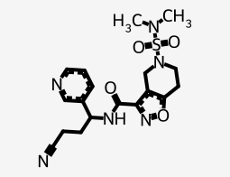 CN(C)S(=O)(=O)N1CCc2onc(C(=O)NC(CCC#N)c3cccnc3)c2C1